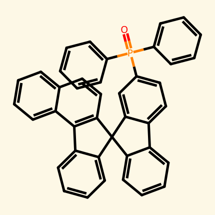 O=P(c1ccccc1)(c1ccccc1)c1ccc2c(c1)C1(c3ccccc3-2)c2ccccc2-c2c1ccc1ccccc21